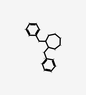 c1ccc(CC2CCCCCC2Cc2ccccc2)cc1